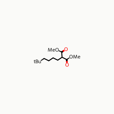 COC(=O)C(CCCCC(C)(C)C)C(=O)OC